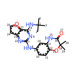 CC(C)(C)Nc1nc(Nc2ccc3c(c2)NC(=O)C(C)(C)O3)nc2ccoc12